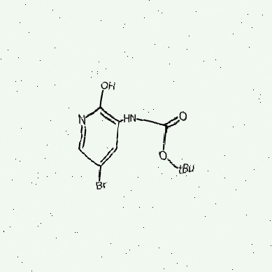 CC(C)(C)OC(=O)Nc1cc(Br)cnc1O